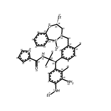 CCNc1ccc([C@H](c2ccc(C)c(CN3C[C@@H](CC)Oc4ccccc4[S+]3[O-])c2)C(C)(C)NC(=O)c2ccco2)c(C)c1N